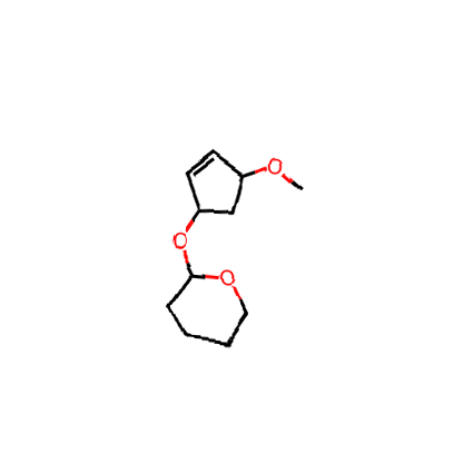 COC1C=CC(OC2CCCCO2)C1